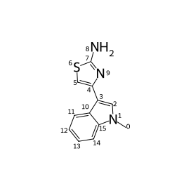 Cn1cc(-c2csc(N)n2)c2ccccc21